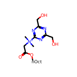 CCCCCCCCOC(=O)C[N+](C)(C)c1nc(CO)nc(CO)n1